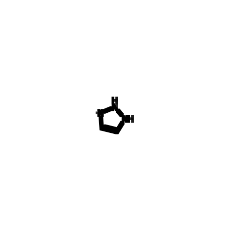 C1=CNN[N]1